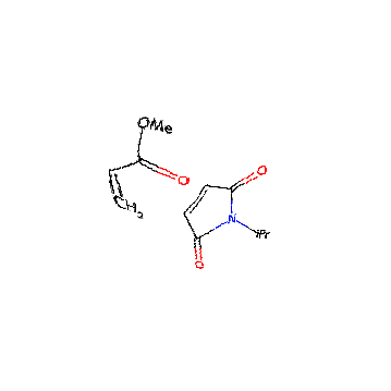 C=CC(=O)OC.CC(C)N1C(=O)C=CC1=O